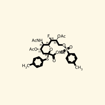 COC(=O)[C@]1(Sc2ccc(C)cc2)C[C@H](OC(C)=O)[C@@H](NC(C)=O)[C@H]([C@@H](F)[C@@H](COS(=O)(=O)c2ccc(C)cc2)OC(C)=O)O1